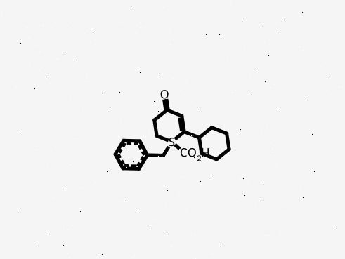 O=C1C=C(C2CCCCC2)S(Cc2ccccc2)(C(=O)O)CC1